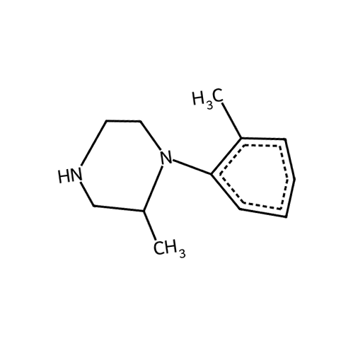 Cc1ccccc1N1CCNCC1C